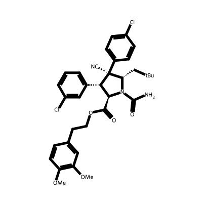 COc1ccc(CCOC(=O)[C@H]2[C@H](c3cccc(Cl)c3)[C@@](C#N)(c3ccc(Cl)cc3)[C@H](CC(C)(C)C)N2C(N)=O)cc1OC